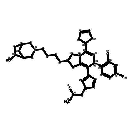 C[C@@H](F)CC1C=CC(C2=C3CC(CCCCN4CC5CC(O)C(C5)C4)CN3C(C3CC=CS3)=N[C@H]2c2ccc(F)cc2Cl)=N1